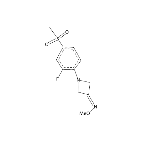 CON=C1CN(c2ccc(S(C)(=O)=O)cc2F)C1